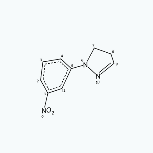 O=[N+]([O-])c1cccc(N2CCC=N2)c1